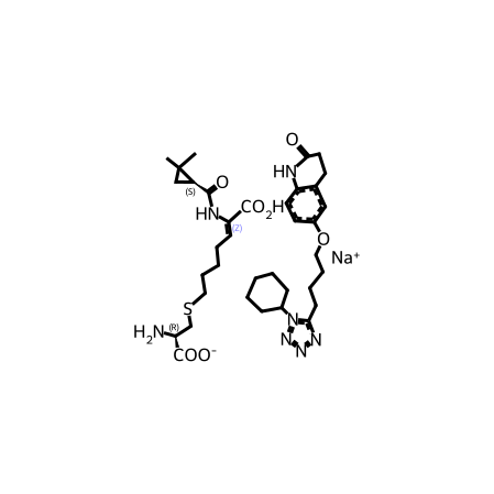 CC1(C)C[C@@H]1C(=O)N/C(=C\CCCCSC[C@H](N)C(=O)[O-])C(=O)O.O=C1CCc2cc(OCCCCc3nnnn3C3CCCCC3)ccc2N1.[Na+]